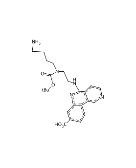 CC(C)(C)OC(=O)N(CCCCN)CCNc1nc2cc(C(=O)O)ccc2c2cnccc12